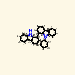 c1ccc(-n2c3ccccc3c3cccc(-c4cccc5c4[nH]c4ccccc45)c32)cc1